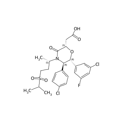 CC(C)S(=O)(=O)CC[C@H](C)N1C(=O)[C@H](CC(=O)O)O[C@H](c2cc(F)cc(Cl)c2)[C@H]1c1ccc(Cl)cc1